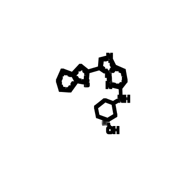 O[C@@H]1CCCC(Nc2ccc3ncc(-c4cc5ccccc5s4)n3n2)C1